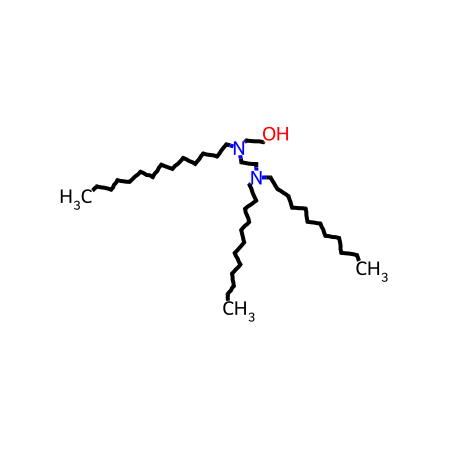 CCCCCCCCCCCCCCN(CCO)CCN(CCCCCCCCCCCC)CCCCCCCCCCCC